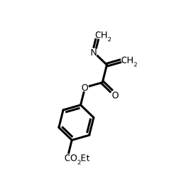 C=NC(=C)C(=O)Oc1ccc(C(=O)OCC)cc1